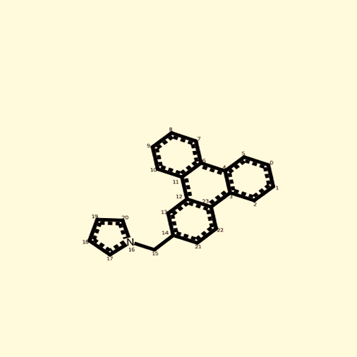 c1ccc2c(c1)c1ccccc1c1cc(Cn3cccc3)ccc21